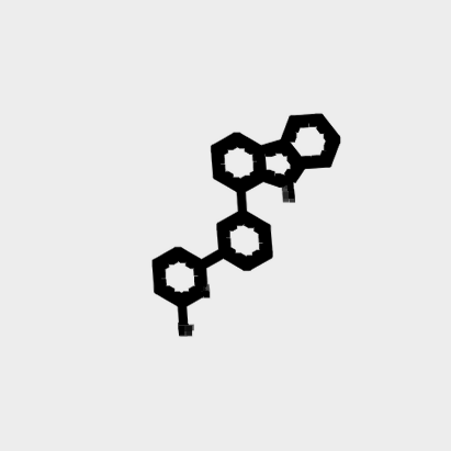 Brc1cccc(-c2cccc(-c3cccc4c3[nH]c3ccccc34)c2)n1